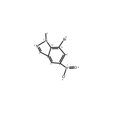 Cn1ncc2cc([N+](=O)[O-])cc(Br)c21